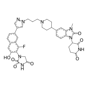 Cn1c(=O)n(C2CCC(=O)NC2=O)c2ccc(C3CCN(CCCn4cc(-c5ccc6cc(O)c(N7CC(=O)NS7(=O)=O)c(F)c6c5)cn4)CC3)cc21